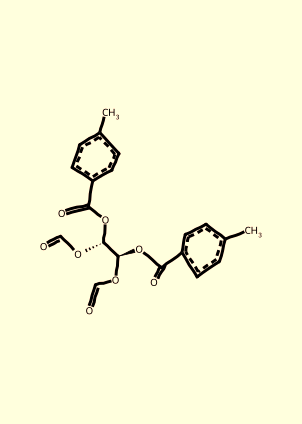 Cc1ccc(C(=O)O[C@@H](OC=O)[C@H](OC=O)OC(=O)c2ccc(C)cc2)cc1